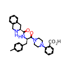 Cc1ccc(C[C@@H](NC(=O)[C@@H]2Cc3ccccc3CN2)C(=O)N2CCN(c3ccccc3C(=O)O)CC2)cc1